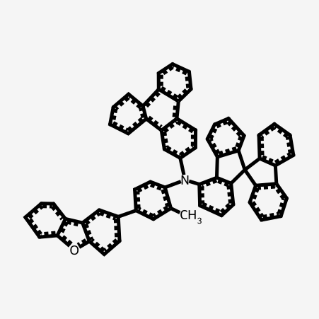 Cc1cc(-c2ccc3oc4ccccc4c3c2)ccc1N(c1ccc2c3ccccc3c3ccccc3c2c1)c1cccc2c1-c1ccccc1C21c2ccccc2-c2ccccc21